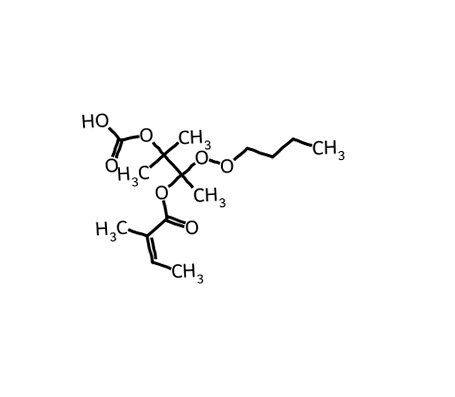 CC=C(C)C(=O)OC(C)(OOCCCC)C(C)(C)OC(=O)O